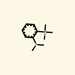 CP(C)c1ccccc1[PH](C)(C)I